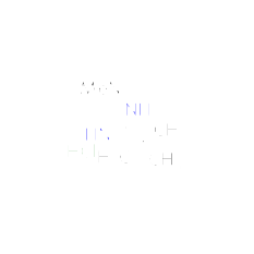 CNNC(=N)C(C)(C)C.Cl